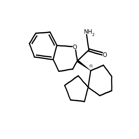 NC(=O)C1([C@H]2CCCCC23CCCC3)CCc2ccccc2O1